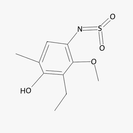 CCc1c(O)c(C)cc(N=S(=O)=O)c1OC